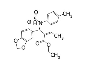 CC=C(C(=O)OCC)C(c1ccc2c(c1)OCO2)N(c1ccc(C)cc1)[SH](=O)=O